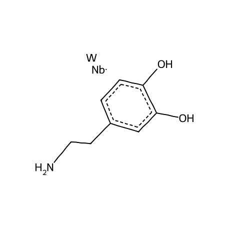 NCCc1ccc(O)c(O)c1.[Nb].[W]